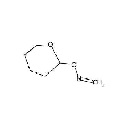 C=NOC1CCCCO1